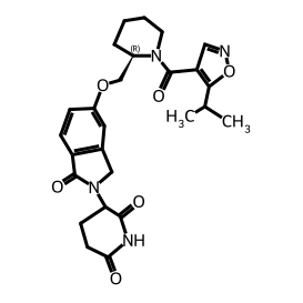 CC(C)c1oncc1C(=O)N1CCCC[C@@H]1COc1ccc2c(c1)CN(C1CCC(=O)NC1=O)C2=O